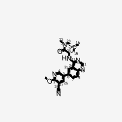 COc1ncc(-c2ccc3ncnc(N[C@@H](C[Se]C)C(=O)N(C)C)c3c2)cc1C#N